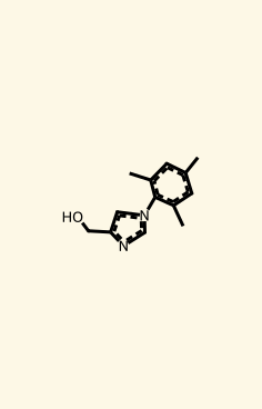 Cc1cc(C)c(-n2cnc(CO)c2)c(C)c1